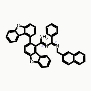 N/C(=N\C(=N/Cc1ccc2ccccc2c1)c1ccccc1)c1c(-c2cccc3oc4ccccc4c23)ccc2oc3ccccc3c12